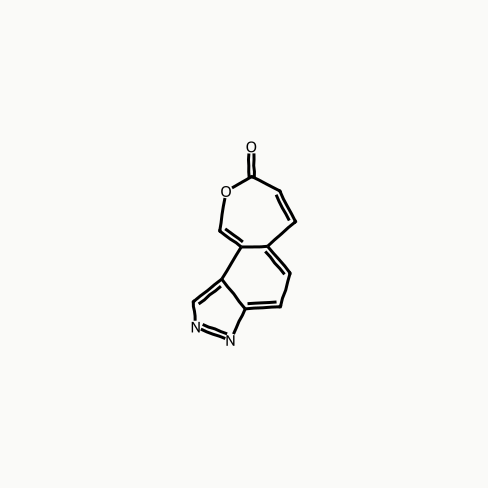 O=c1ccc2ccc3nncc3c2co1